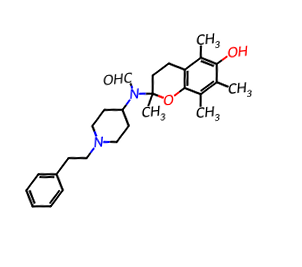 Cc1c(C)c2c(c(C)c1O)CCC(C)(N(C=O)C1CCN(CCc3ccccc3)CC1)O2